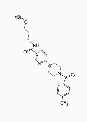 CCCCOCCCNC(=O)c1ccc(N2CCN(C(=O)c3ccc(C(F)(F)F)cc3)CC2)nc1